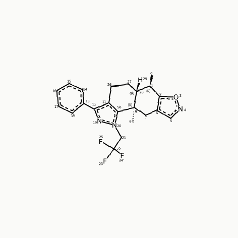 C[C@H]1c2oncc2C[C@@]2(C)c3c(c(-c4ccccc4)nn3CC(F)(F)F)CC[C@H]12